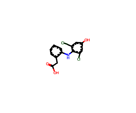 O=C(O)Cc1ccccc1Nc1c(Cl)cc(O)cc1Cl